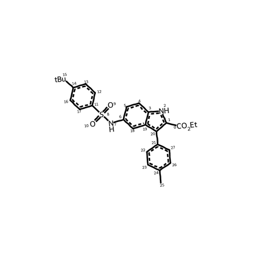 CCOC(=O)c1[nH]c2ccc(NS(=O)(=O)c3ccc(C(C)(C)C)cc3)cc2c1-c1ccc(C)cc1